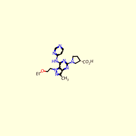 CCOCCn1nc(C)c2nc(N3CC[C@H](C(=O)O)C3)nc(Nc3ccncn3)c21